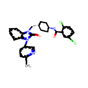 Cc1ccc(-n2c(=O)n(C[C@H]3CC[C@H](NC(=O)c4cc(Cl)ccc4Cl)CC3)c3ccccc32)cn1